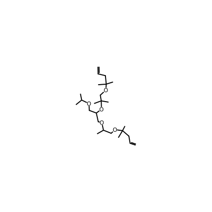 C=CCC(C)(C)OCC(C)OCC(COC(C)C)OC(C)(C)COC(C)(C)CC=C